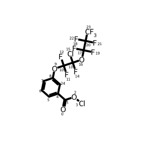 O=C(OCl)c1cccc(OC(F)(F)C(F)(Cl)OC(F)(F)C(F)(F)C(F)(F)F)c1